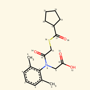 Cc1cccc(C)c1N(CC(=O)O)C(=O)CSC(=O)C1CCCC1